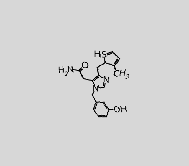 CC1=CC=[SH]C1Cc1ncn(Cc2cccc(O)c2)c1CC(N)=O